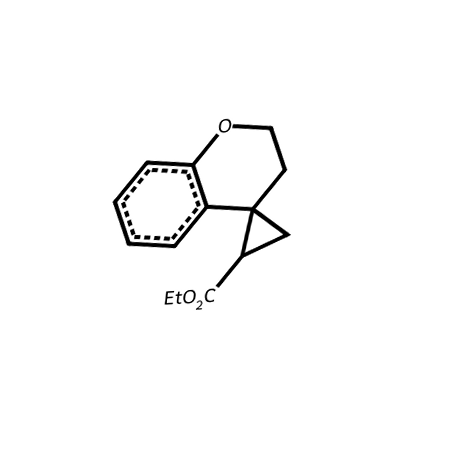 CCOC(=O)C1CC12CCOc1ccccc12